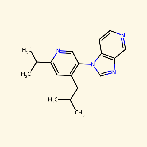 CC(C)Cc1cc(C(C)C)ncc1-n1cnc2cnccc21